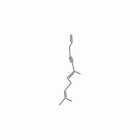 C=CCC#C/C(C)=C/CC=C(C)C